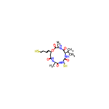 CC(C)[C@H]1NC(=O)[C@H](CS)NC(=O)[C@@H](C)NC(=O)C[C@@H](/C=C/CCS)OC(=O)[C@@H](C)NC1=O